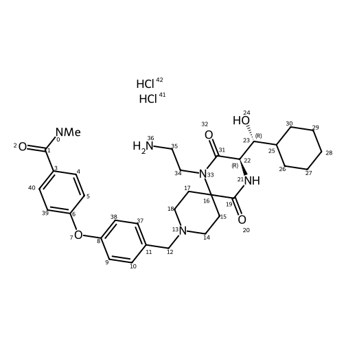 CNC(=O)c1ccc(Oc2ccc(CN3CCC4(CC3)C(=O)N[C@H]([C@H](O)C3CCCCC3)C(=O)N4CCN)cc2)cc1.Cl.Cl